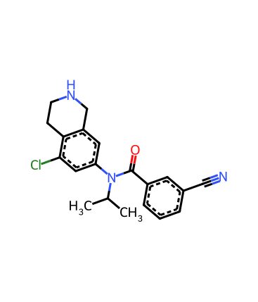 CC(C)N(C(=O)c1cccc(C#N)c1)c1cc(Cl)c2c(c1)CNCC2